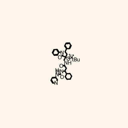 CC(C)(C)[Si](C)(C)OC(CCc1ccccc1)(CNC(=O)CC(NC(=O)Nc1cccnc1)C1CCCCC1)c1nc2ccccc2o1